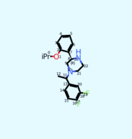 CC(C)Oc1ccccc1[C@@H]1CN(C(C)c2ccc(F)c(F)c2)CCN1